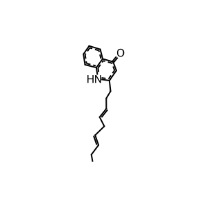 CC/C=C/C/C=C/CCc1cc(=O)c2ccccc2[nH]1